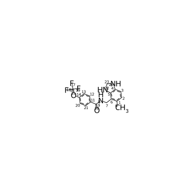 Cc1ccc2c(c1CNC(=O)c1ccc(OC(F)(F)F)cc1)NCN2